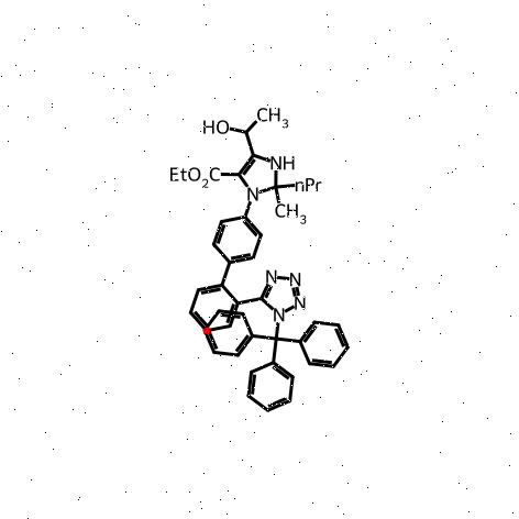 CCCC1(C)NC(C(C)O)=C(C(=O)OCC)N1c1ccc(-c2ccccc2-c2nnnn2C(c2ccccc2)(c2ccccc2)c2ccccc2)cc1